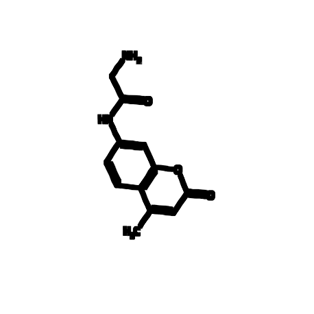 Cc1cc(=O)oc2cc(NC(=O)CN)ccc12